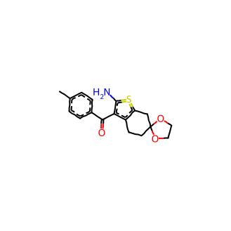 Cc1ccc(C(=O)c2c(N)sc3c2CCC2(C3)OCCO2)cc1